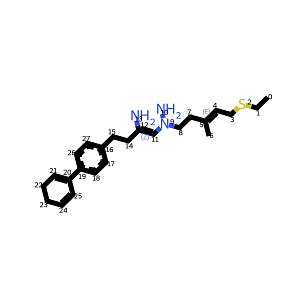 CCSC/C=C(\C)CCN(N)/C=C(\N)CCc1ccc(C2=CCCC=C2)cc1